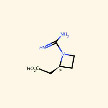 N=C(N)N1CC[C@H]1CC(=O)O